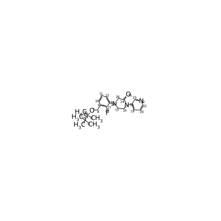 CC(C)(C)[Si](C)(C)OCc1cccc(N2CCN(c3cccnc3)C(=O)C2)c1F